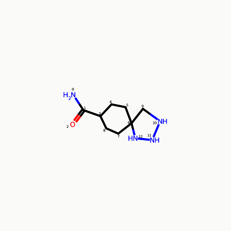 NC(=O)C1CCC2(CC1)CNNN2